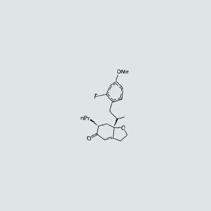 CCC[C@H]1C[C@]2(C(C)Cc3ccc(OC)cc3F)OCCC2=CC1=O